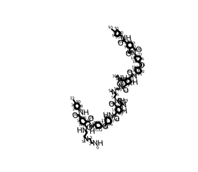 CNCCN(C)CCNC(=O)c1ccc(C(=O)Nc2ccc(C)cc2)cc1C(=O)Nc1ccc(Oc2ccc(NC(=O)c3ccc(C(=O)NC)c(C(=O)NCCN(C)CCNC(=O)c4ccc(C(=O)Nc5ccc(Oc6ccc(N7C(=O)c8ccc(C(=O)Nc9ccc(C)cc9)cc8C7=O)cc6)cc5)cc4C(=O)NC)c3)cc2)cc1